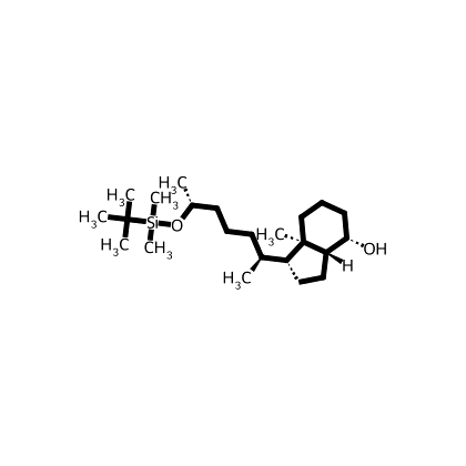 C[C@H](CCC[C@H](C)[C@H]1CC[C@H]2[C@@H](O)CCC[C@]12C)O[Si](C)(C)C(C)(C)C